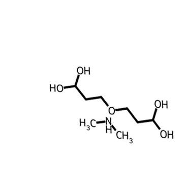 CNC.OC(O)CCOCCC(O)O